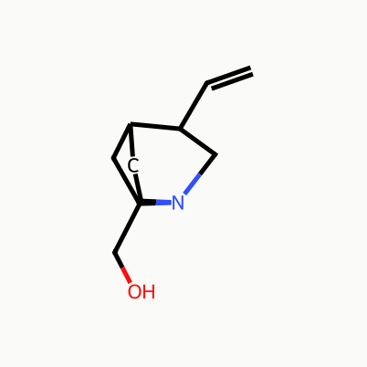 C=CC1CN2CCC1CC2CO